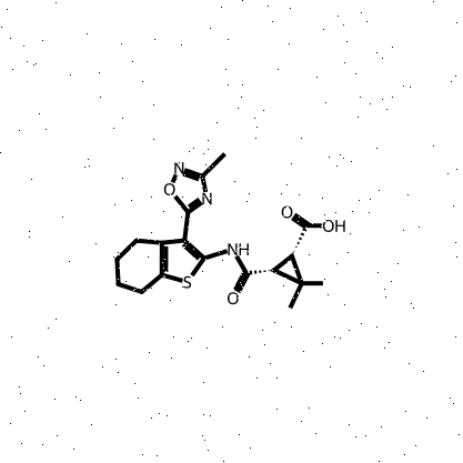 Cc1noc(-c2c(NC(=O)[C@@H]3[C@H](C(=O)O)C3(C)C)sc3c2CCCC3)n1